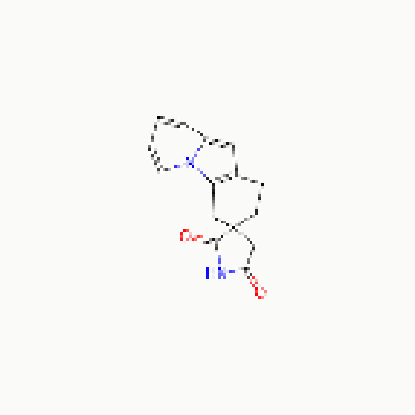 O=C1CC2(CCc3cc4ccccn4c3C2)C(=O)N1